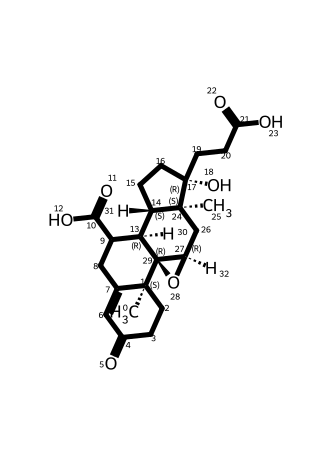 C[C@]12CCC(=O)C=C1CC(C(=O)O)[C@H]1[C@@H]3CC[C@@](O)(CCC(=O)O)[C@@]3(C)C[C@H]3O[C@]312